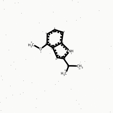 COc1cccc2[nH]c(C(C)C)cc12